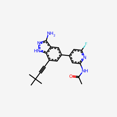 CC(=O)Nc1cc(-c2cc(C#CC(C)(C)C)c3[nH]nc(N)c3c2)cc(F)n1